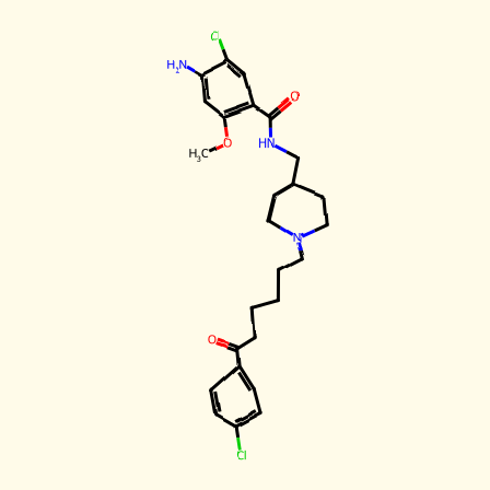 COc1cc(N)c(Cl)cc1C(=O)NCC1CCN(CCCCCC(=O)c2ccc(Cl)cc2)CC1